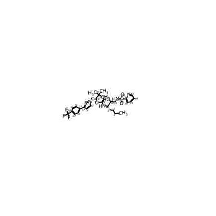 CCCC[C@H](NC(=O)O[C@H](Cn1ccc(-c2ccc(C(F)(F)F)cc2)n1)C(C)(C)C)[C@@H](O)CNS(=O)(=O)c1ccccn1